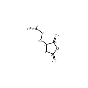 CCCCCCSC1CC(=O)OC1=O